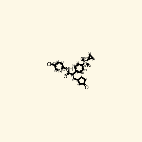 O=C1CCC(C[C@@H](C(=O)Nc2ccc(Cl)cn2)c2ccc(S(=O)(=O)C3CC3)cc2)C1